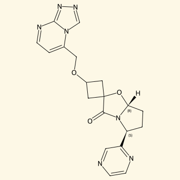 O=C1N2[C@@H](CC[C@H]2c2cnccn2)OC12CC(OCc1ccnc3nncn13)C2